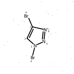 BrC1=CN(Br)N=[N+]1